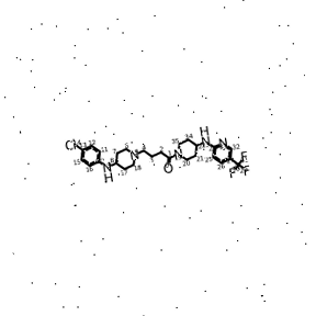 O=C(CCCN1CCC(Nc2ccc(Cl)cc2)CC1)N1CCC(Nc2ccc(C(F)(F)F)cn2)CC1